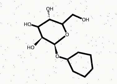 OCC1O[C@@H](OC2CCCCC2)[C@@H](O)C(O)[C@@H]1O